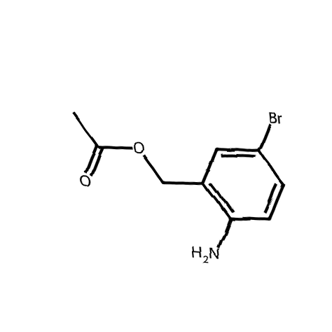 CC(=O)OCc1cc(Br)ccc1N